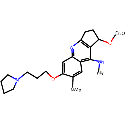 CCCNc1c2c(nc3cc(OCCCN4CCCC4)c(OC)cc13)CCC2OC=O